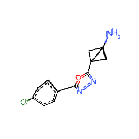 NC12CC(c3nnc(-c4ccc(Cl)cc4)o3)(C1)C2